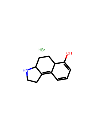 Br.OC1=CC=CC2=C3CCNC3CCC12